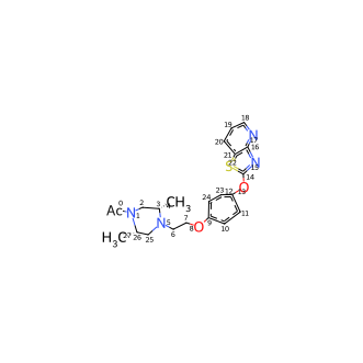 CC(=O)N1C[C@H](C)N(CCOc2ccc(Oc3nc4ncccc4s3)cc2)C[C@@H]1C